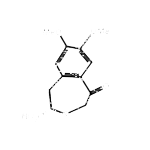 COc1cc2c(cc1OC)C(=O)CS[C@H](C(=O)O)C2